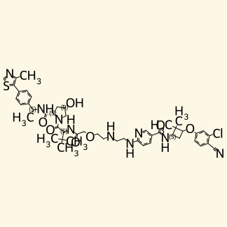 Cc1ncsc1-c1ccc([C@H](C)NC(=O)[C@@H]2C[C@@H](O)CN2C(=O)[C@@H](NC(=O)COCCNCCNc2ccc(C(=O)N[C@H]3CC(Oc4ccc(C#N)c(Cl)c4)C3(C)C)cn2)C(C)(C)C)cc1